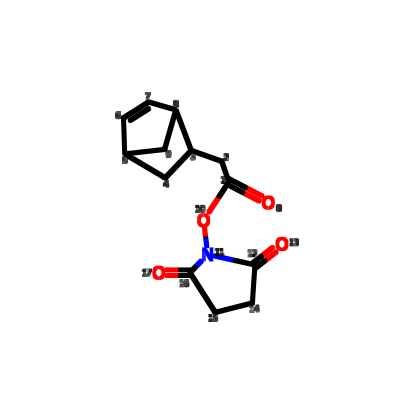 O=C(CC1CC2C=CC1C2)ON1C(=O)CCC1=O